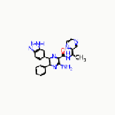 CC(NC(=O)c1nc(-c2ccc3nn[nH]c3c2)c(-c2ccccc2)nc1N)c1cnccn1